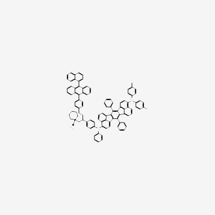 Cc1ccc(N(c2ccc(C)cc2)c2ccc3c4c(-c5ccccc5)c5c6cccc7c(N(c8ccccc8)c8ccc(C(CCc9ccc(-c%10c%11ccccc%11c(-c%11cccc%12ccccc%11%12)c%11ccccc%10%11)cc9)CC9(C#N)CCCCC9)cc8)ccc(c5c(-c5ccccc5)c4c4cccc2c43)c76)cc1